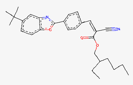 CCCCC(CC)COC(=O)/C(C#N)=C\c1ccc(-c2nc3cc(C(C)(C)C)ccc3o2)cc1